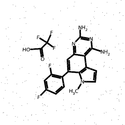 Cn1ccc2c3c(N)nc(N)nc3cc(-c3ccc(F)cc3F)c21.O=C(O)C(F)(F)F